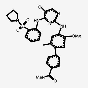 CNC(=O)c1ccc(-c2cc(OC)c(Nc3ncc(Cl)c(Nc4ccccc4S(=O)(=O)N4CCCC4)n3)cc2C)cc1